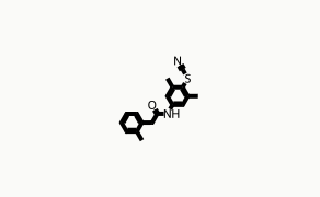 Cc1ccccc1CC(=O)Nc1cc(C)c(SC#N)c(C)c1